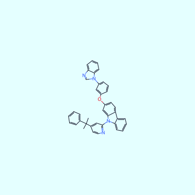 CC(C)(c1ccccc1)c1ccnc(-n2c3ccccc3c3ccc(Oc4cccc(-n5cnc6ccccc65)c4)cc32)c1